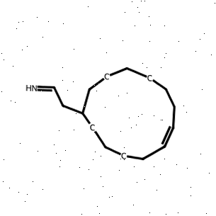 N=CCC1CCCC/C=C\CCCCCC1